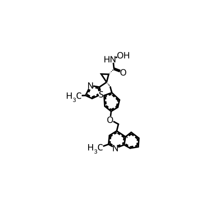 Cc1csc([C@@]2(Cc3ccc(OCc4cc(C)nc5ccccc45)cc3)C[C@@H]2C(=O)NO)n1